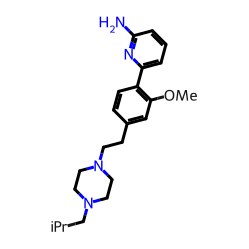 COc1cc(CCN2CCN(CC(C)C)CC2)ccc1-c1cccc(N)n1